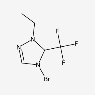 CCN1N=CN(Br)C1C(F)(F)F